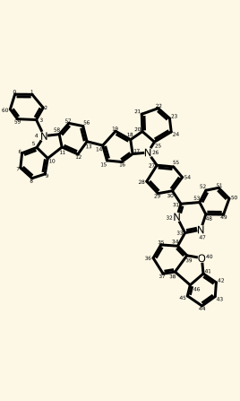 c1ccc(-n2c3ccccc3c3cc(-c4ccc5c(c4)c4ccccc4n5-c4ccc(-c5nc(-c6cccc7c6oc6ccccc67)nc6ccccc56)cc4)ccc32)cc1